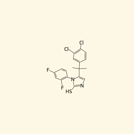 CC(C)(c1ccc(Cl)c(Cl)c1)c1cnc(S)n1-c1ccc(F)cc1F